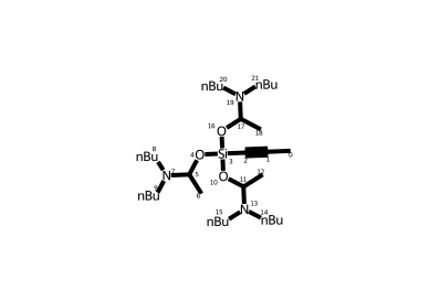 CC#C[Si](OC(C)N(CCCC)CCCC)(OC(C)N(CCCC)CCCC)OC(C)N(CCCC)CCCC